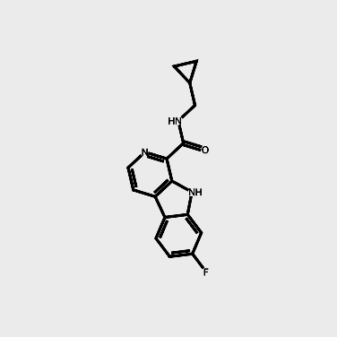 O=C(NCC1CC1)c1nccc2c1[nH]c1cc(F)ccc12